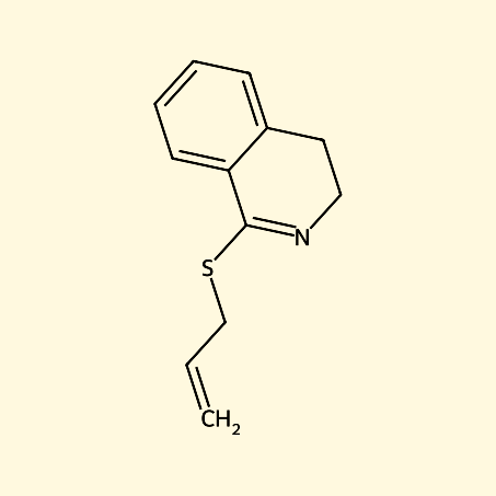 C=CCSC1=NCCc2ccccc21